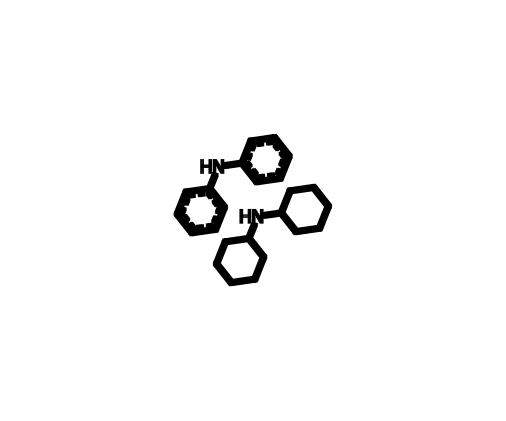 C1CCC(NC2CCCCC2)CC1.c1ccc(Nc2ccccc2)cc1